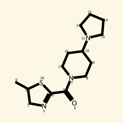 CC1CN=C(C(=O)N2CCC(N3CCCC3)CC2)S1